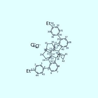 CCc1ccc(-c2cccc3c2C=C(C2CCCC2)[CH]3[Zr+2]2([CH]3C(C4CCCC4)=Cc4c(-c5ccc(CC)cc5)cccc43)[CH2][CH2]2)cc1.[Cl-].[Cl-]